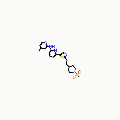 Cc1ccnc(Nc2cccc(-c3cnc(CCC4CCN(S(C)(=O)=O)CC4)s3)n2)c1